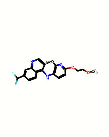 COc1nc(OCCOC(F)(F)F)ccc1Nc1ccnc2cc(C(F)F)ccc12